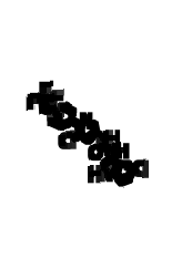 O=C(Nc1cnc(C2CCN(CC(F)(F)F)CC2)c(Cl)c1)Nc1c[nH]c2ccc(Cl)cc12